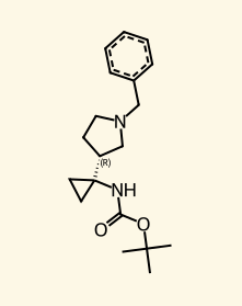 CC(C)(C)OC(=O)NC1([C@@H]2CCN(Cc3ccccc3)C2)CC1